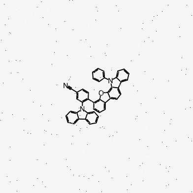 N#Cc1ccc(-c2cccc3c2oc2c3ccc3c4ccccc4n(-c4ccccc4)c32)c(-n2c3ccccc3c3ccccc32)c1